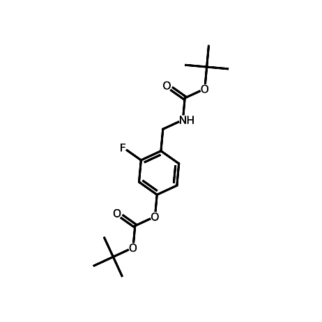 CC(C)(C)OC(=O)NCc1ccc(OC(=O)OC(C)(C)C)cc1F